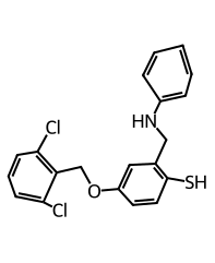 Sc1ccc(OCc2c(Cl)cccc2Cl)cc1CNc1ccccc1